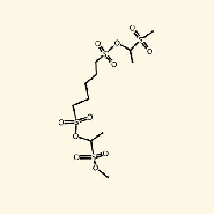 COS(=O)(=O)C(C)OS(=O)(=O)CCCCCS(=O)(=O)OC(C)S(C)(=O)=O